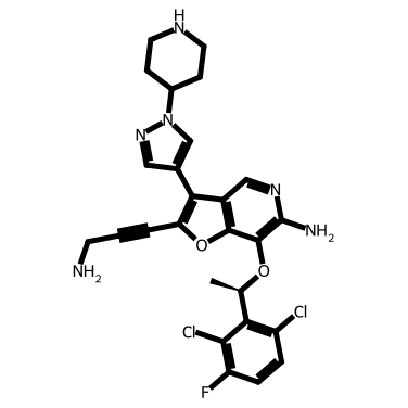 C[C@@H](Oc1c(N)ncc2c(-c3cnn(C4CCNCC4)c3)c(C#CCN)oc12)c1c(Cl)ccc(F)c1Cl